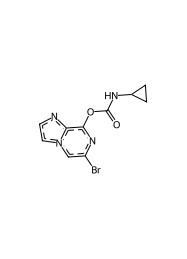 O=C(NC1CC1)Oc1nc(Br)cn2ccnc12